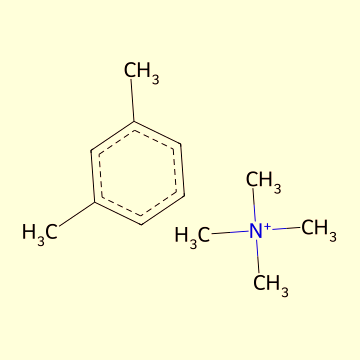 C[N+](C)(C)C.Cc1cccc(C)c1